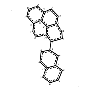 c1ccc2cc(-c3ccc4ccc5cccc6ccc3c4c56)ccc2c1